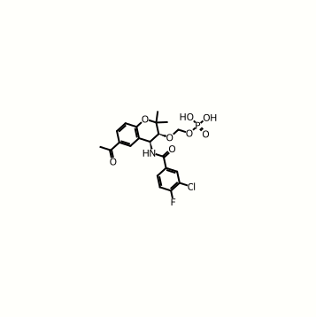 CC(=O)c1ccc2c(c1)[C@H](NC(=O)c1ccc(F)c(Cl)c1)[C@H](OCOP(=O)(O)O)C(C)(C)O2